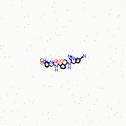 COc1ccc(C[C@H](NC(=O)c2cccc3c2OCCC3NC(Cc2ccc(C#N)cc2)c2cnc[nH]2)C(N)=O)cc1